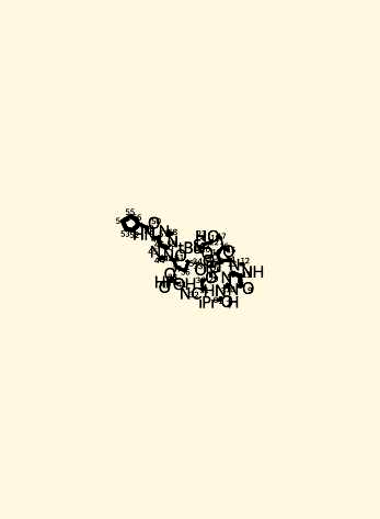 CC(C)C(=O)Nc1nc2c(c(=O)[nH]1)NCN2[C@@H]1O[C@H](CO)[C@@H](O[Si](C)(C)C(C)(C)C)[C@H]1OP(=O)(OCCC#N)OC[C@@H]1C[C@@H](O[PH](=O)O)[C@H](n2cnc3c(NC(=O)c4ccccc4)ncnc32)O1